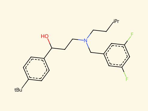 CC(C)CCN(CCC(O)c1ccc(C(C)(C)C)cc1)Cc1cc(F)cc(F)c1